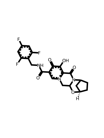 O=C(NCc1c(F)cc(F)cc1F)c1cn2c(c(O)c1=O)C(=O)N1C3CC[C@H](C3)OC1C2